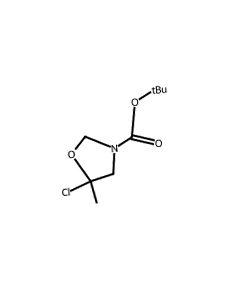 CC(C)(C)OC(=O)N1COC(C)(Cl)C1